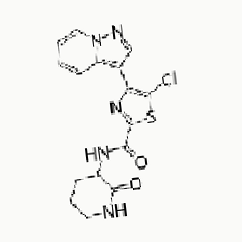 O=C(NC1CCCNC1=O)c1nc(-c2cnn3ccccc23)c(Cl)s1